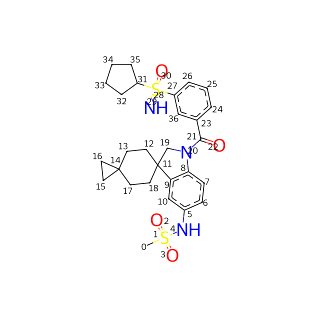 CS(=O)(=O)Nc1ccc2c(c1)C1(CCC3(CC3)CC1)CN2C(=O)c1cccc(S(=N)(=O)C2CCCC2)c1